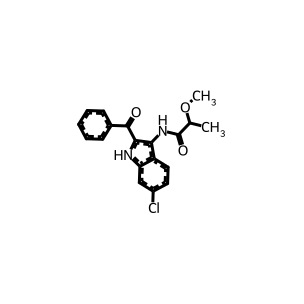 COC(C)C(=O)Nc1c(C(=O)c2ccccc2)[nH]c2cc(Cl)ccc12